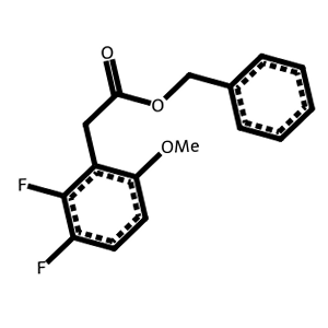 COc1ccc(F)c(F)c1CC(=O)OCc1ccccc1